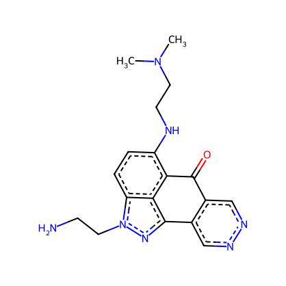 CN(C)CCNc1ccc2c3c(nn2CCN)-c2cnncc2C(=O)c13